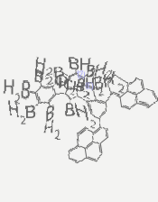 BC(=C)/C(B)=C(B)\C(B)=C(/B)c1c(-c2ccc3ccc4cccc5ccc2c3c45)cc(-c2ccc3ccc4cccc5ccc2c3c45)cc1C1C(B)=c2oc3c(B)c(B)c(B)c(B)c3c2=C1B